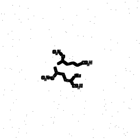 CC(CCC(C(=O)O)C(C)(C)C)O[N+](=O)[O-].CC(CCCC(=O)O)O[N+](=O)[O-]